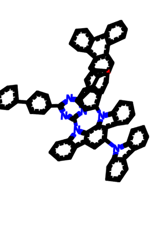 c1ccc(-c2ccc(-c3nc(-c4ccccc4)nc(-n4c5ccccc5c5cc(-n6c7ccccc7c7ccccc76)c6c7ccccc7n(-c7cccc(-c8ccc9c%10ccccc%10c%10ccccc%10c9c8)c7)c6c54)n3)cc2)cc1